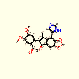 COc1cc(C(C)=O)c(C2=C(C)c3c(cc4c(c3-c3cnc[nH]3)OCO4)C2=O)cc1OC